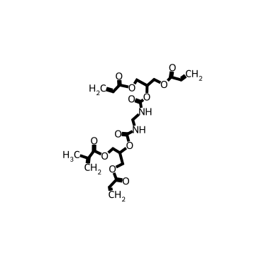 C=CC(=O)OCC(COC(=O)C=C)OC(=O)NCNC(=O)OC(COC(=O)C=C)COC(=O)C(=C)C